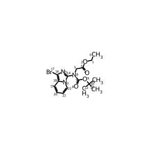 CCOC(=O)CN(C(=O)OC(C)(C)C)c1nc(Br)c2ccccn12